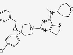 CN(c1nc(N2CCC(OCc3ccccc3)(c3ccc(Cl)cc3)CC2)nc2c1SCC2)C1CCOCC1